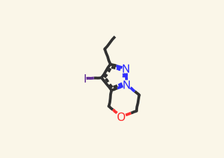 CCc1nn2c(c1I)COCC2